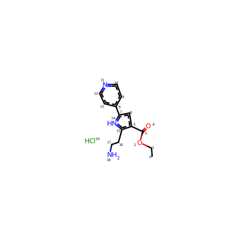 CCOC(=O)c1cc(-c2ccncc2)[nH]c1CCN.Cl